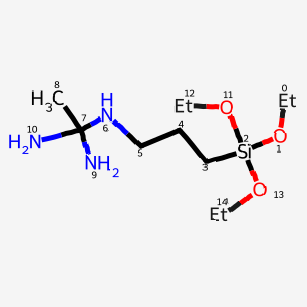 CCO[Si](CCCNC(C)(N)N)(OCC)OCC